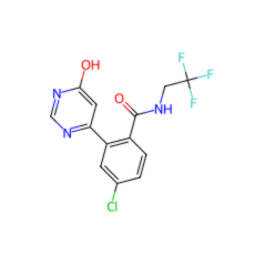 O=C(NCC(F)(F)F)c1ccc(Cl)cc1-c1cc(O)ncn1